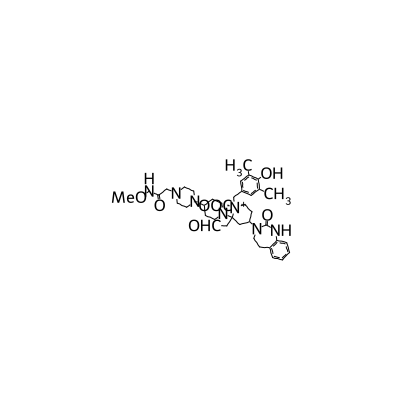 CONC(=O)CN1CCN(C2CCN(C3(CC=O)CC(N4CCc5ccccc5NC4=O)CC[N@+]3(Cc3cc(C)c(O)c(C)c3)C(=O)[O-])CC2)CC1